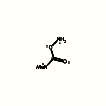 CNC(=O)ON